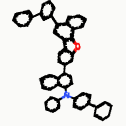 C1=CC(c2ccc(N(c3ccccc3)c3ccc(-c4ccc5c(c4)oc4c6ccccc6c(-c6cccc(-c7ccccc7)c6)cc54)c4ccccc34)cc2)=CCC1